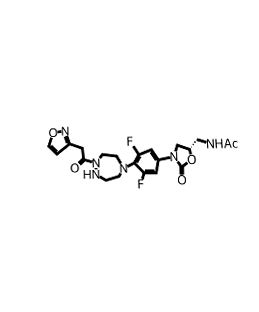 CC(=O)NC[C@H]1CN(c2cc(F)c(N3CCNN(C(=O)Cc4ccon4)CC3)c(F)c2)C(=O)O1